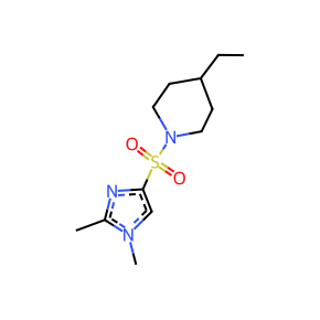 CCC1CCN(S(=O)(=O)c2cn(C)c(C)n2)CC1